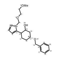 COCCOCn1nccc1C1CC[C@@H](OCc2ccccc2)CC1O